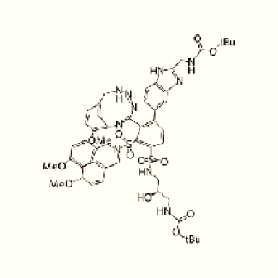 COc1ccc(CN(Cc2ccc(OC)cc2)S(=O)(=O)c2c(S(=O)(=O)NC[C@H](O)CNC(=O)OC(C)(C)C)ccc(-c3ccc4[nH]c(CNC(=O)OC(C)(C)C)nc4c3)c2C2=N/c3cc(ccc3OC)CN/N=N\2)cc1